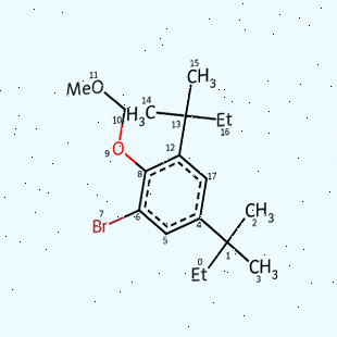 CCC(C)(C)c1cc(Br)c(OCOC)c(C(C)(C)CC)c1